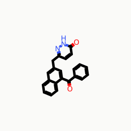 O=C(c1ccccc1)c1cc(Cc2ccc(=O)[nH]n2)cc2ccccc12